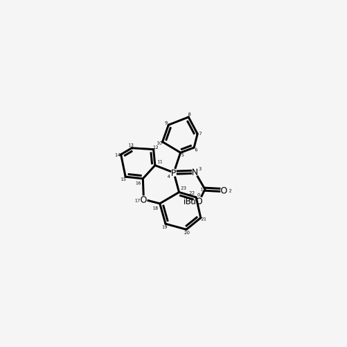 CC(C)COC(=O)N=P1(c2ccccc2)c2ccccc2Oc2ccccc21